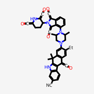 CCc1cc2c(cc1N1CC(C)N(c3cccc4c(=C=O)n(C5CCC(=C=O)NC5=C=O)c(=C=O)c34)C(C)C1)C(C)(C)c1[nH]c3cc(C#N)ccc3c1C2=C=O